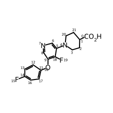 O=C(O)C1CCN(c2cncc(Oc3ccc(F)cc3)c2F)CC1